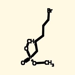 COP(=O)(CCCCCBr)OC